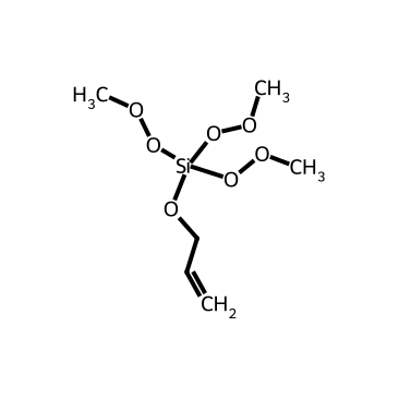 C=CCO[Si](OOC)(OOC)OOC